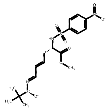 COC(=O)[C@H](C/C=C/C=N/[S@@+]([O-])C(C)(C)C)NS(=O)(=O)c1ccc([N+](=O)[O-])cc1